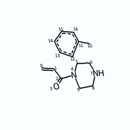 C=CC(=O)N1CCNCC1.Cc1ccccc1